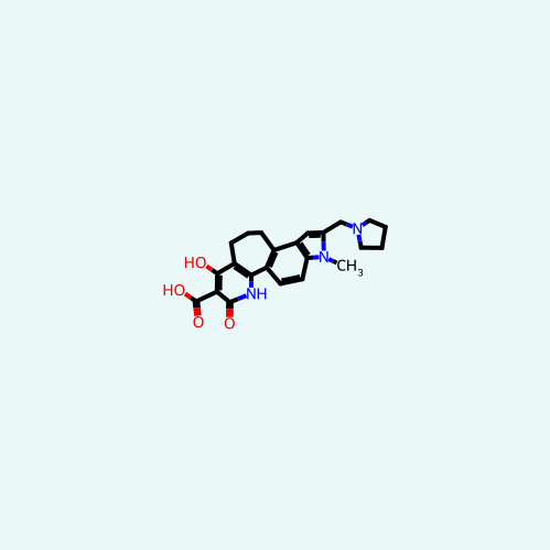 Cn1c(CN2CCCC2)cc2c3c(ccc21)-c1[nH]c(=O)c(C(=O)O)c(O)c1CCC3